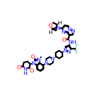 Cn1c(=O)n(C2CCC(=O)NC2=O)c2cccc(N3CCN([C@H]4CC[C@H](n5cc(NC(=O)c6cnn7ccc(N8C[C@H]9C[C@@H]8CO9)nc67)c(C(F)F)n5)CC4)CC3)c21